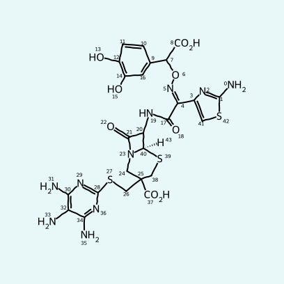 Nc1nc(C(=NOC(C(=O)O)c2ccc(O)c(O)c2)C(=O)NC2C(=O)N3CC(CSc4nc(N)c(N)c(N)n4)(C(=O)O)CS[C@H]23)cs1